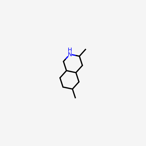 CC1CCC2CNC(C)CC2C1